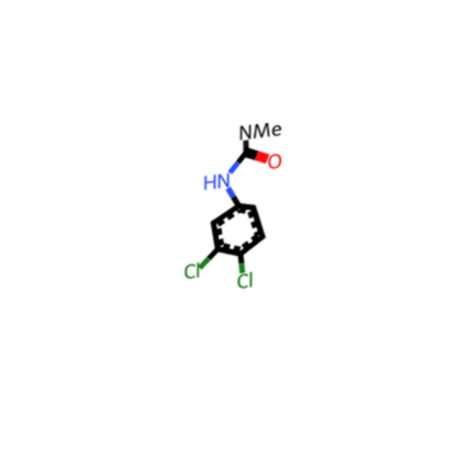 CNC(=O)Nc1ccc(Cl)c(Cl)c1